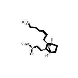 CCCCC[S+]([O-])CC[C@H]1[C@@H](C/C=C\CCCC(=O)O)[C@H]2CC[C@@H]1S2